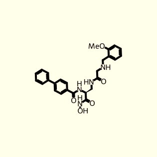 COc1ccccc1CNCC(=O)NC[C@H](NC(=O)c1ccc(-c2ccccc2)cc1)C(=O)NO